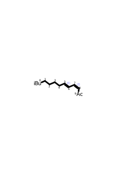 CCC(C)CCCC/C=C/C=C\C(C)=O